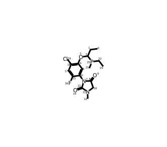 CCC(Oc1cc(N2C(=O)CN(C)C2=O)c(F)cc1Cl)P(C)CC